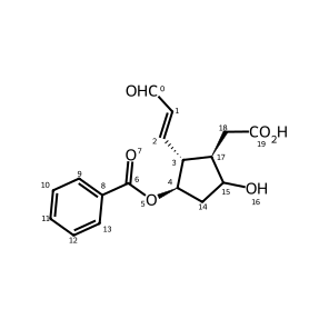 O=CC=C[C@H]1[C@H](OC(=O)c2ccccc2)CC(O)[C@@H]1CC(=O)O